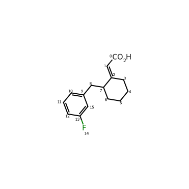 O=C(O)/C=C1\CCCCC1Cc1cccc(F)c1